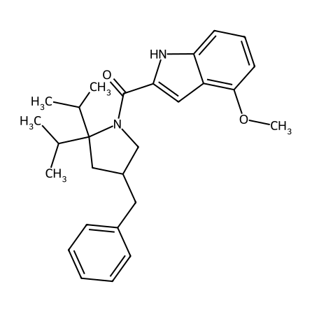 COc1cccc2[nH]c(C(=O)N3CC(Cc4ccccc4)CC3(C(C)C)C(C)C)cc12